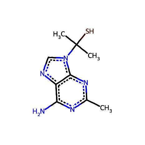 Cc1nc(N)c2ncn(C(C)(C)S)c2n1